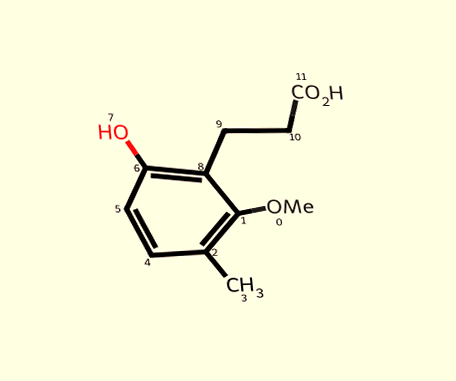 COc1c(C)ccc(O)c1CCC(=O)O